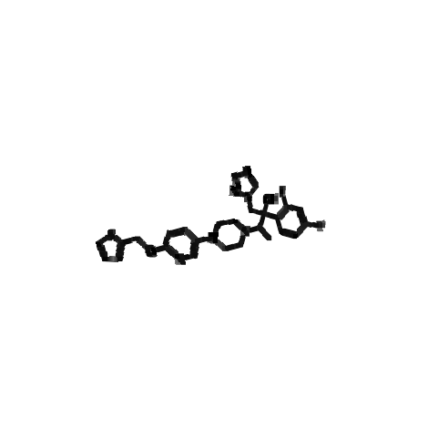 CC(N1CCN(c2ccc(OCc3cccs3)nc2)CC1)C(O)(Cn1cncn1)c1ccc(F)cc1F